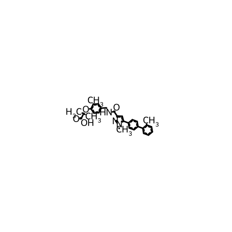 Cc1cc(CNC(=O)c2cc(-c3ccc(-c4ccccc4C)cc3)n(C)n2)ccc1OC(C)(C)C(=O)O